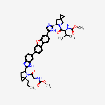 CCC[C@@]12CC1CC(c1nc3ccc(-c4ccc5c(c4)oc4cc(-c6cnc([C@@H]7CC8(CC8)CN7C(=O)[C@@H](NC(=O)OC)C(C)C)[nH]6)ccc45)cc3[nH]1)N2C(=O)CNC(=O)OC